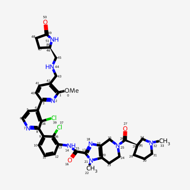 COc1nc(-c2ccnc(-c3cccc(NC(=O)c4nc5c(n4C)CCN(C(=O)[C@@H]4CCCN(C)C4)C5)c3Cl)c2Cl)ccc1CNC[C@H]1CCC(=O)N1